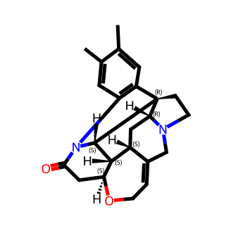 Cc1cc2c(cc1C)[C@@]13CCN4CC5=CCO[C@H]6CC(=O)N2[C@H]1[C@@H]6[C@@H]5C[C@@H]43